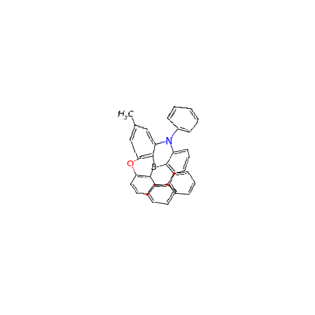 Cc1cc2c3c(c1)N(c1ccccc1)c1cccc(-c4ccccc4)c1B3c1c(cccc1-c1ccccc1)O2